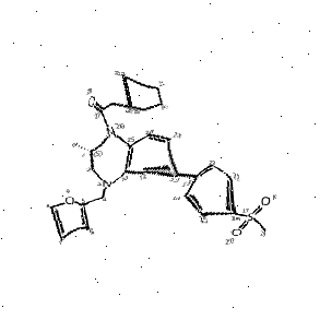 C[C@H]1CN(Cc2ccco2)c2cc(-c3ccc(S(C)(=O)=O)cc3)ccc2N1C(=O)C1CCC1